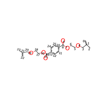 C=C(C)COCCOC(=O)c1ccc(C(=O)OCCOCC(=C)C)cc1